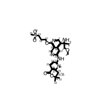 COCC(C)(N)c1cnc(OCCCS(C)(=O)=O)c2cnc(Nc3ccc4c(n3)[C@H](C)C(C)(C)OC4=O)cc12